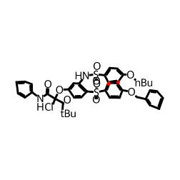 CCCCOc1ccc(S(=O)(=O)Nc2cc(OC(Cl)(C(=O)Nc3ccccc3)C(=O)C(C)(C)C)ccc2S(=O)(=O)c2ccc(OCc3ccccc3)cc2)cc1